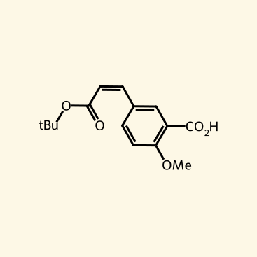 COc1ccc(/C=C\C(=O)OC(C)(C)C)cc1C(=O)O